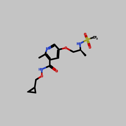 Cc1ncc(OC[C@H](C)NS(=O)(=O)C(F)(F)F)cc1C(=O)NOCC1CC1